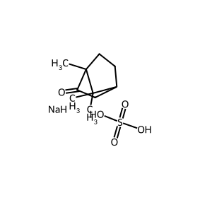 CC12CCC(CC1=O)C2(C)C.O=S(=O)(O)O.[NaH]